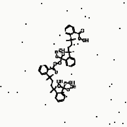 CC(C)(CCC(C)(C)c1ccccc1C(OO)(OO)OOC(=O)c1ccccc1C(C)(C)CCC(C)(C)c1ccccc1C(OO)(OO)OO)c1ccccc1C(=O)OO